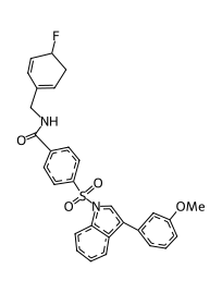 COc1cccc(-c2cn(S(=O)(=O)c3ccc(C(=O)NCC4=CCC(F)C=C4)cc3)c3ccccc23)c1